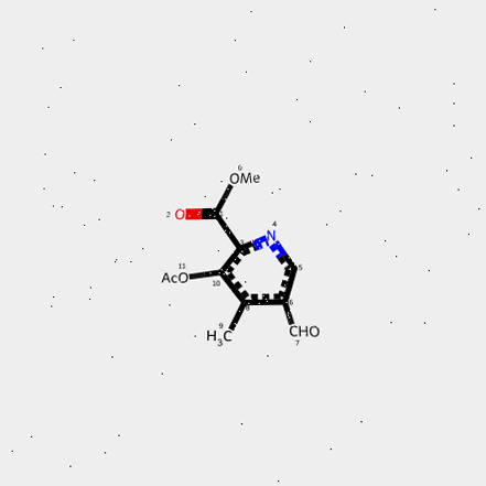 COC(=O)c1ncc(C=O)c(C)c1OC(C)=O